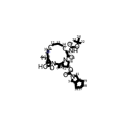 C=C1N[C@]2(C(=O)O)C[C@H]2/C=C\CCCCC[C@H](NC(=O)OC(C)(C)C)C(=O)N2C[C@H](OC(=O)N3Cc4ccccc4C3)C[C@@H]12